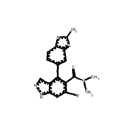 Cc1nc2ccc(-c3c(C(=O)N(C)C)c(F)cc4[nH]ncc34)cc2s1